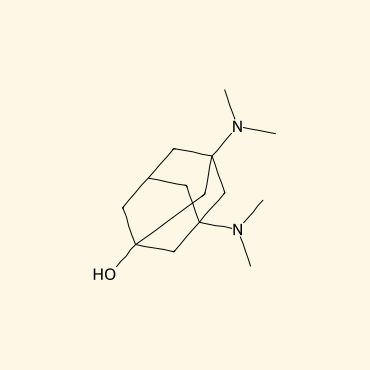 CN(C)C12CC3CC(O)(C1)CC(N(C)C)(C3)C2